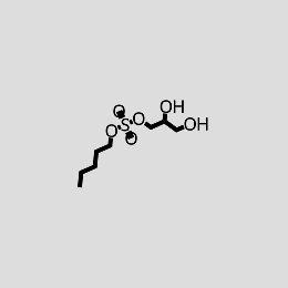 CCCCCOS(=O)(=O)OCC(O)CO